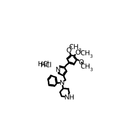 COc1cc(-c2cncc(CN(c3ccccc3)C3CCNCC3)c2)cc(OC)c1OC.Cl.Cl